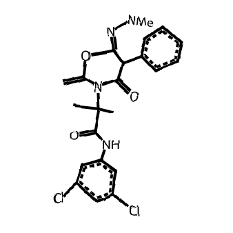 C=C1OC(=NNC)C(c2ccccc2)C(=O)N1C(C)(C)C(=O)Nc1cc(Cl)cc(Cl)c1